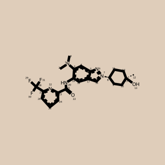 CN(C)c1cc2nn([C@H]3CC[C@](C)(O)CC3)cc2cc1NC(=O)c1cccc(C(F)(F)F)n1